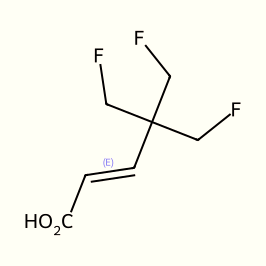 O=C(O)/C=C/C(CF)(CF)CF